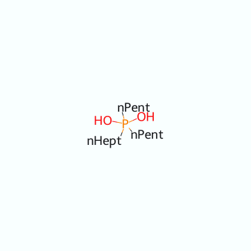 CCCCCCCP(O)(O)(CCCCC)CCCCC